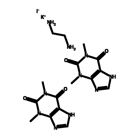 Cn1c(=O)c2[nH]cnc2n(C)c1=O.Cn1c(=O)c2[nH]cnc2n(C)c1=O.NCCN.[I-].[K+]